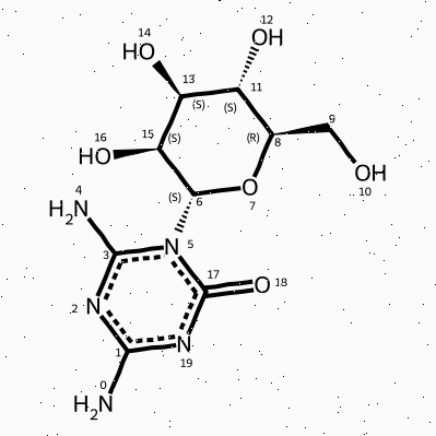 Nc1nc(N)n([C@H]2O[C@H](CO)[C@@H](O)[C@H](O)[C@@H]2O)c(=O)n1